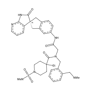 CCC1(C(=O)N(CC(=O)Nc2ccc3c(c2)C[C@@]2(C3)C(=O)Nc3ncccc32)Cc2ccccc2CNC)CCN(S(=O)(=O)NC)CC1